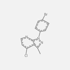 Cc1nn(-c2ccc(Br)cc2)c2nccc(Cl)c12